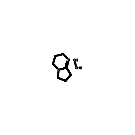 C1CN=C2CCCN2C1.O=CO